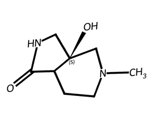 CN1CCC2C(=O)NC[C@]2(O)C1